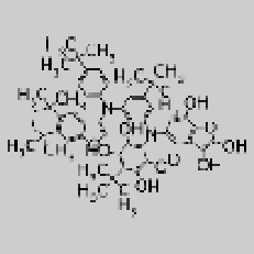 CC(C)(C)c1ccc(N(c2cc(-n3c4cc(O)c5oc(O)c(O)c5c4ooc4c(O)c(C(C)(C)C)c(O)c(O)c43)cc(C(C)(C)C)c2)c2coc3cc4c(cc23)C(C)(C)CCC4(C)C)cc1